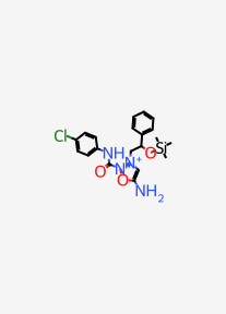 C[Si](C)(C)OC(C[n+]1cc(N)o[n+]1C(=O)Nc1ccc(Cl)cc1)c1ccccc1